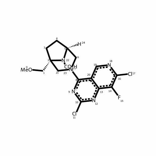 COC[C@@]12CC[C@@H](CN(c3nc(Cl)nc4c(F)c(Cl)ncc34)C1)N2C(=O)O